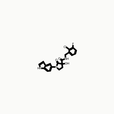 O=C(NCc1cccc(F)c1Cl)C1(O)CCN(c2ccc3[nH]ccc3c2)C1=O